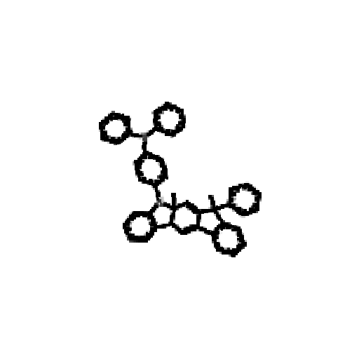 CC1(c2ccccc2)C2=CC3(C)C(C=C2c2ccccc21)c1ccccc1N3c1ccc(N(c2ccccc2)c2ccccc2)cc1